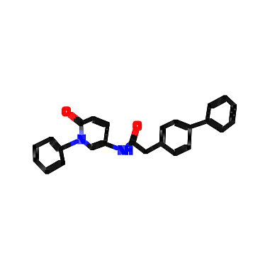 O=C(Cc1ccc(-c2ccccc2)cc1)Nc1ccc(=O)n(-c2ccccc2)c1